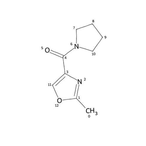 Cc1nc(C(=O)N2CCCC2)co1